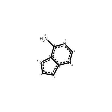 Nc1ncnc2[c]csc12